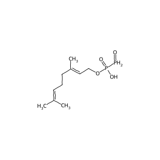 CC(C)=CCCC(C)=CCOP(=O)(O)[PH2]=O